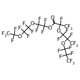 O=C(OC(F)(F)C(F)(F)OC(F)(F)C(F)(F)OC(F)(F)C(F)(F)F)C(F)(OC(F)(F)C(F)(OC(F)(F)C(F)(F)C(F)(F)F)C(F)(F)F)C(F)(F)F